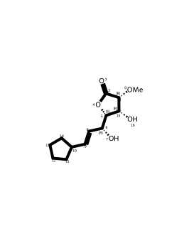 CO[C@H]1C(=O)O[C@@H]([C@H](O)C=CC2CCCC2)[C@H]1O